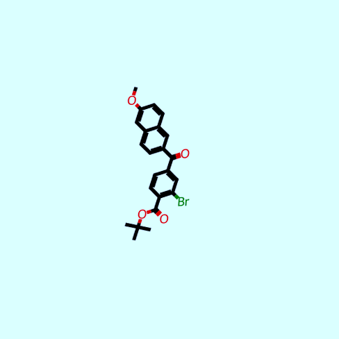 COc1ccc2cc(C(=O)c3ccc(C(=O)OC(C)(C)C)c(Br)c3)ccc2c1